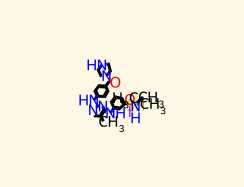 Cc1cnc(Nc2ccc(C(=O)N3CCNCC3)cc2)nc1Nc1cccc([SH](=O)(I)NC(C)(C)C)c1